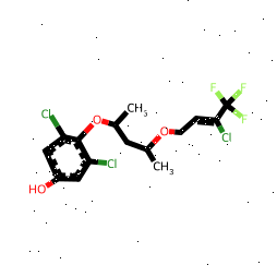 CC(CC(C)Oc1c(Cl)cc(O)cc1Cl)OC/C=C(\Cl)C(F)(F)F